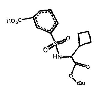 CC(C)(C)OC(=O)C(NS(=O)(=O)c1cccc(C(=O)O)c1)C1CCC1